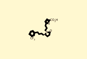 O=C(O)c1ccc(CCCN2C(=O)CC[C@@H]2CCCCc2cccc(C(F)(F)F)c2)s1